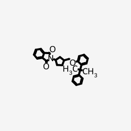 CC(C)(c1ccccc1)c1ccccc1OCC1CCC(N2C(=O)c3ccccc3C2=O)C1